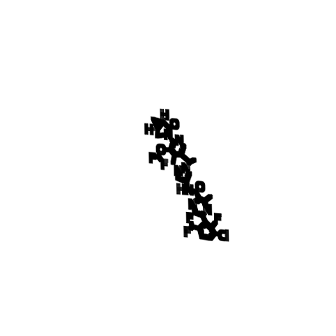 Cc1nc(-c2c(C(F)F)ccc(Cl)c2F)cnc1C(=O)Nc1cnn(C(C)c2cnc(N3C[C@H]4C[C@H]4C3=O)c(OC(F)F)c2C)c1